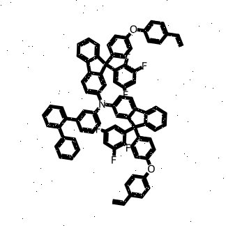 C=Cc1ccc(Oc2ccc(C3(c4cc(F)cc(F)c4F)c4ccccc4-c4ccc(N(c5cccc(-c6ccccc6-c6ccccc6)c5)c5ccc6c(c5)C(c5ccc(Oc7ccc(C=C)cc7)cc5)(c5cc(F)cc(F)c5F)c5ccccc5-6)cc43)cc2)cc1